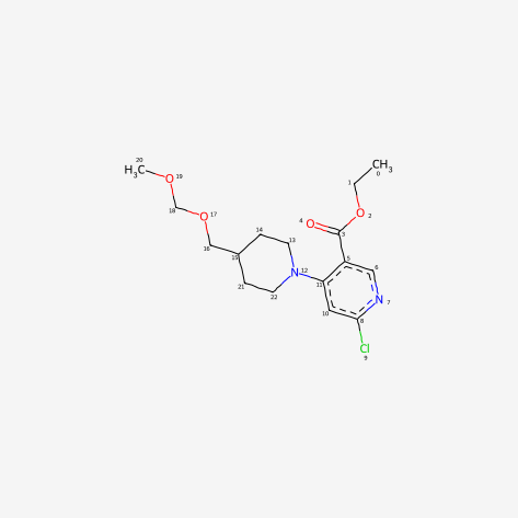 CCOC(=O)c1cnc(Cl)cc1N1CCC(COCOC)CC1